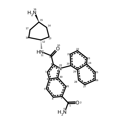 NC(=O)c1ccc2cc(C(=O)N[C@H]3CC[C@H](N)CC3)n(-c3cccc4ccccc34)c2c1